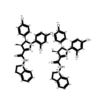 C[C@@H]1C(C(=O)NN2CCc3ccccc32)=NN(c2ccc(Cl)cc2Cl)[C@@H]1c1ccc(Cl)cc1.C[C@@H]1C(C(=O)NN2CCc3ccccc32)=NN(c2ccc(Cl)cc2Cl)[C@H]1c1ccc(Cl)cc1